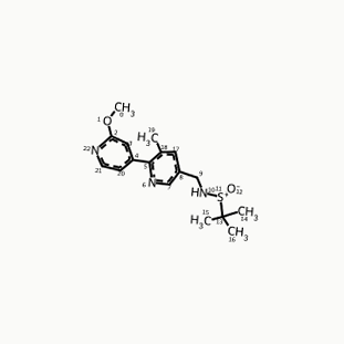 COc1cc(-c2ncc(CN[S+]([O-])C(C)(C)C)cc2C)ccn1